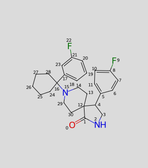 O=C1NCC(c2ccc(F)cc2)C12CCN(C1(c3cccc(F)c3)CCCCC1)CC2